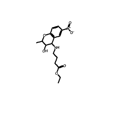 CCOC(=O)CCCNC1c2cc([N+](=O)[O-])ccc2OC(C)C1O